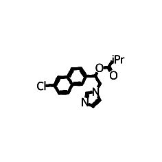 CC(C)C(=O)OC(Cn1ccnc1)c1ccc2cc(Cl)ccc2c1